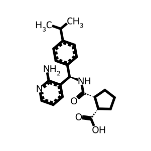 CC(C)c1ccc([C@@H](NC(=O)[C@@H]2CCC[C@@H]2C(=O)O)c2cccnc2N)cc1